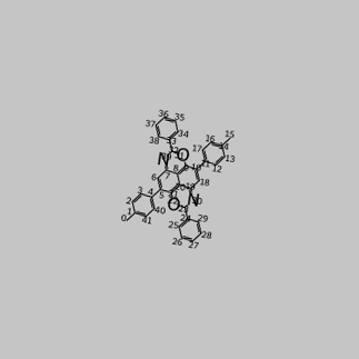 Cc1ccc(-c2cc3c4c(c(-c5ccc(C)cc5)cc5c4c2OC(c2ccccc2)N=5)OC(c2ccccc2)N=3)cc1